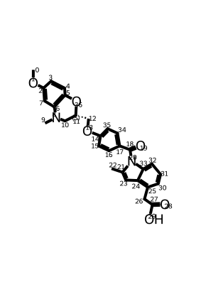 COc1ccc2c(c1)N(C)C[C@@H](COc1ccc(C(=O)n3c(C)cc4c(CC(=O)O)cccc43)cc1)O2